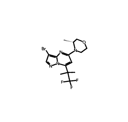 C[C@@H]1COCCN1c1cc(C(C)(C)C(F)(F)F)n2ncc(Br)c2n1